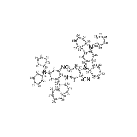 N#Cc1cc(-n2c3ccc(N(c4ccccc4)c4ccccc4)cc3c3c4ccccc4ccc32)c(C#N)cc1-n1c2ccccc2c2cc3c(cc21)c1ccccc1n3-c1ccccc1